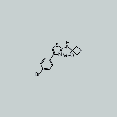 COC1(Nc2nc(-c3ccc(Br)cc3)cs2)CCC1